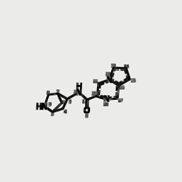 O=C(NC1CC2CC1CN2)c1cn2cccc2cn1